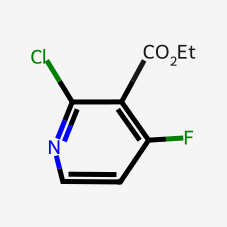 CCOC(=O)c1c(F)ccnc1Cl